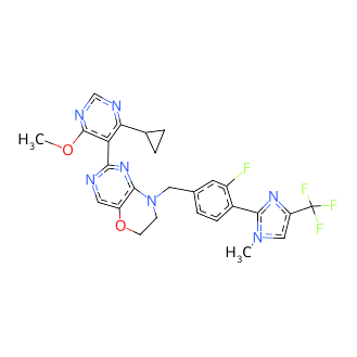 COc1ncnc(C2CC2)c1-c1ncc2c(n1)N(Cc1ccc(-c3nc(C(F)(F)F)cn3C)c(F)c1)CCO2